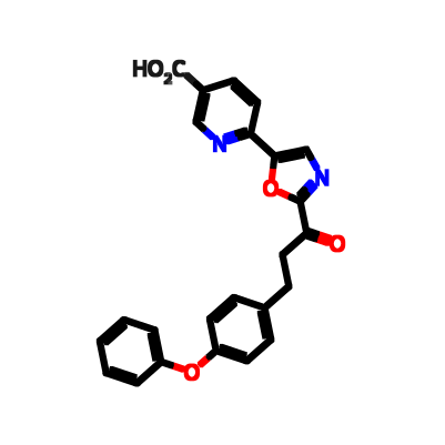 O=C(O)c1ccc(-c2cnc(C(=O)CCc3ccc(Oc4ccccc4)cc3)o2)nc1